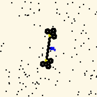 NC(CCCCCCSC(c1ccccc1)(c1ccccc1)c1ccccc1)CCCCCCSC(c1ccccc1)(c1ccccc1)c1ccccc1